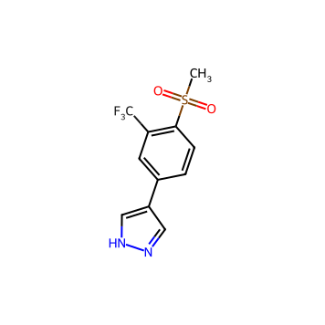 CS(=O)(=O)c1ccc(-c2cn[nH]c2)cc1C(F)(F)F